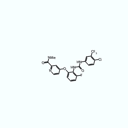 CNC(=O)c1cc(Oc2cccc(F)c2NC(=O)Nc2ccc(Cl)c(C(F)(F)F)c2)ccn1